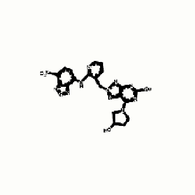 CC(C)(C)c1nc(N2CCC(O)C2)c2nn(Cc3cccnc3Nc3ccc([N+](=O)[O-])c4nonc34)nc2n1